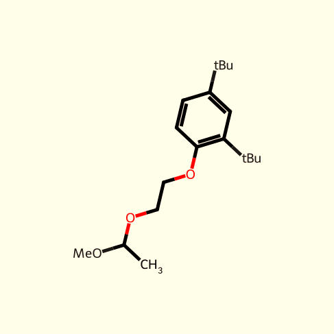 COC(C)OCCOc1ccc(C(C)(C)C)cc1C(C)(C)C